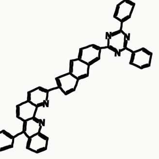 c1ccc(-c2nc(-c3ccccc3)nc(-c3ccc4cc5cc(-c6ccc7ccc8c(-c9ccccc9)c9ccccc9nc8c7n6)ccc5cc4c3)n2)cc1